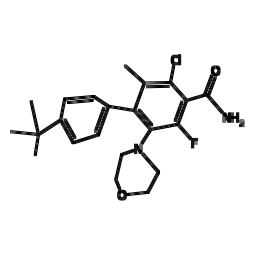 Cc1c(Cl)c(C(N)=O)c(F)c(N2CCOCC2)c1-c1ccc(C(C)(C)C)cc1